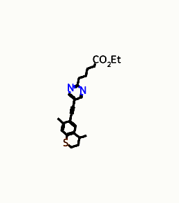 CCOC(=O)CCCCc1ncc(C#Cc2cc3c(cc2C)SCCC3C)cn1